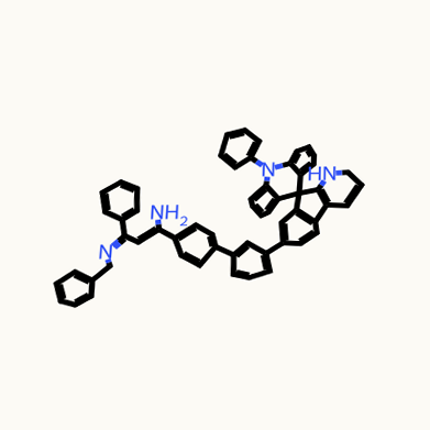 N/C(=C\C(=N/Cc1ccccc1)c1ccccc1)c1ccc(-c2cccc(-c3ccc4c(c3)C3(C5=C4C=CCN5)c4ccccc4N(c4ccccc4)c4ccccc43)c2)cc1